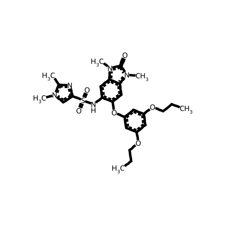 CCCOc1cc(OCCC)cc(Oc2cc3c(cc2NS(=O)(=O)c2cn(C)c(C)n2)n(C)c(=O)n3C)c1